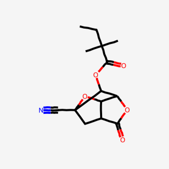 CCC(C)(C)C(=O)OC1C2OC(=O)C3CC1(C#N)OC32